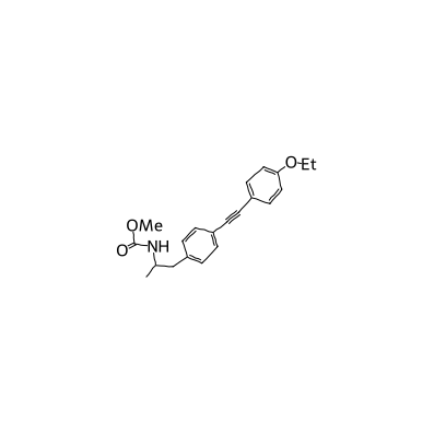 CCOc1ccc(C#Cc2ccc(CC(C)NC(=O)OC)cc2)cc1